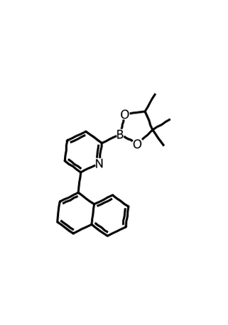 CC1OB(c2cccc(-c3cccc4ccccc34)n2)OC1(C)C